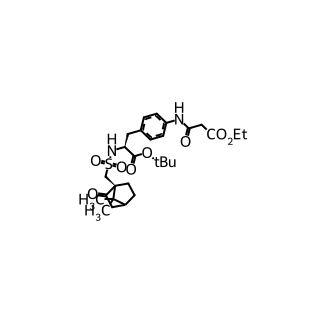 CCOC(=O)CC(=O)Nc1ccc(C[C@H](NS(=O)(=O)C[C@]23CCC(CC2=O)C3(C)C)C(=O)OC(C)(C)C)cc1